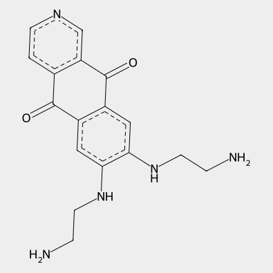 NCCNc1cc2c(cc1NCCN)C(=O)c1cnccc1C2=O